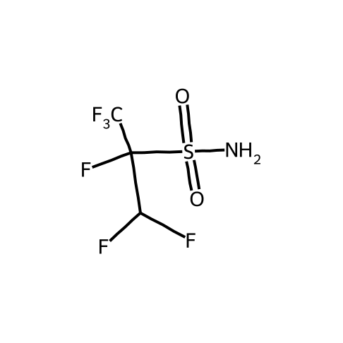 NS(=O)(=O)C(F)(C(F)F)C(F)(F)F